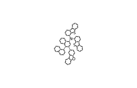 c1ccc2c(-c3c(-c4ccc5oc6ccccc6c5c4)cc(N(c4cccc5c4sc4ccccc45)c4cccc5c4sc4ccccc45)c4ccccc34)cccc2c1